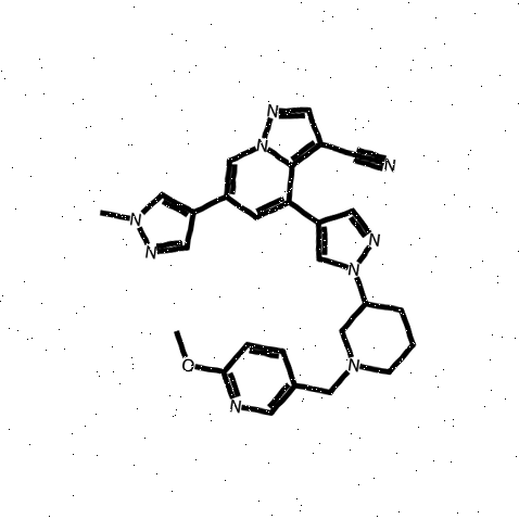 COc1ccc(CN2CCCC(n3cc(-c4cc(-c5cnn(C)c5)cn5ncc(C#N)c45)cn3)C2)cn1